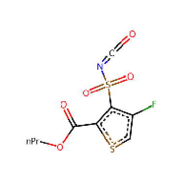 CCCOC(=O)c1scc(F)c1S(=O)(=O)N=C=O